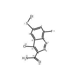 CCSc1cc(F)c2nnc(C(N)=O)c(Cl)c2c1